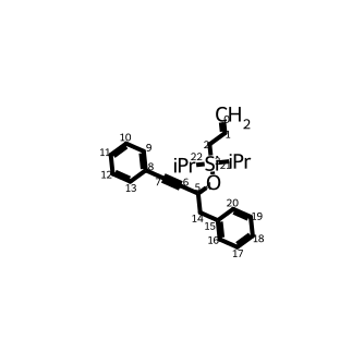 C=CC[Si](OC(C#Cc1ccccc1)Cc1ccccc1)(C(C)C)C(C)C